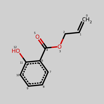 C=CCOC(=O)c1ccccc1O